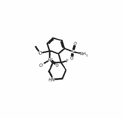 COC1([N+](=O)[O-])C=CC=C(S(N)(=O)=O)C1C1(F)CCNCC1